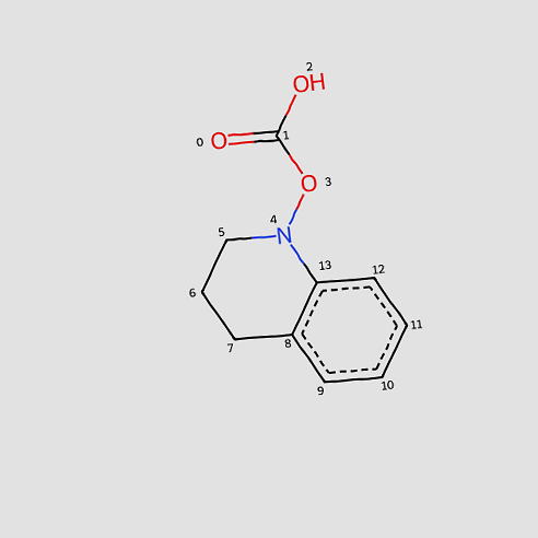 O=C(O)ON1CCCc2ccccc21